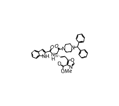 COC(=O)c1ncoc1CC[C@H](NC(=O)c1cc2ccccc2[nH]1)C(=O)N1CCN(C(c2ccccc2)c2ccccc2)CC1